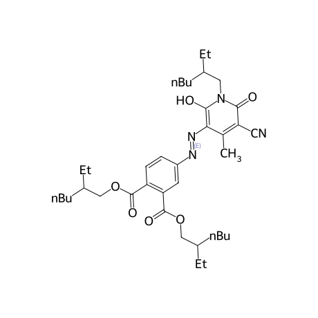 CCCCC(CC)COC(=O)c1ccc(/N=N/c2c(C)c(C#N)c(=O)n(CC(CC)CCCC)c2O)cc1C(=O)OCC(CC)CCCC